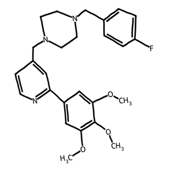 COc1cc(-c2cc(CN3CCN(Cc4ccc(F)cc4)CC3)ccn2)cc(OC)c1OC